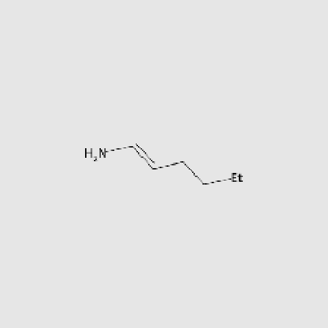 CCCCC=CN